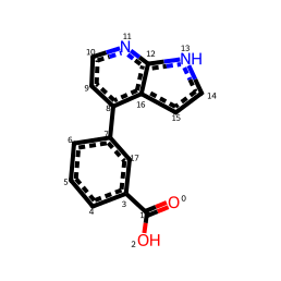 O=C(O)c1cccc(-c2ccnc3[nH]ccc23)c1